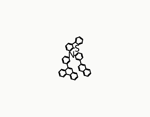 c1cc(-c2ccc3ccccc3c2)cc(N(c2cccc(-c3cc4ccccc4c4ccccc34)c2)c2cccc3c2sc2ccccc23)c1